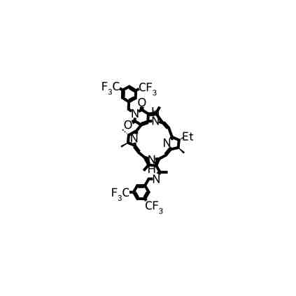 CC[C@H]1c2cc3[nH]c4c(c5nc(cc6[nH]c(cc(n2)[C@@H]1C)c(/C(C)=N\Cc1cc(C(F)(F)F)cc(C(F)(F)F)c1)c6C)[C@@H](C)[C@@H]5C)C(=O)N(Cc1cc(C(F)(F)F)cc(C(F)(F)F)c1)C(=O)c4c3C